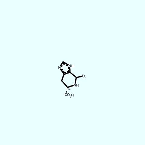 CCC1N[C@H](C(=O)O)Cc2nc[nH]c21